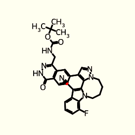 CC(C)(C)OC(=O)NCc1n[nH]c(=O)c2ccc(-c3cnn4c3-c3c(C#N)c5cccc(F)c5n3CCCC4)cc12